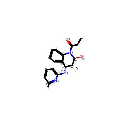 CCC(=O)N1c2ccccc2[C@H](Nc2cccc(C)n2)[C@@H](C)[C@@H]1O